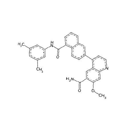 COc1cc2nccc(-c3ccc4c(C(=O)Nc5cc(C)cc(C)c5)cccc4c3)c2cc1C(N)=O